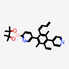 C=C/C=C\c1c(C)c(-c2ccncc2)c(C=C)c(C)c1-c1ccc(B2OC(C)(C)C(C)(C)O2)nc1